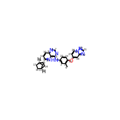 Cc1cc(Nc2ncnc3ccc([C@@H]4C[C@H]5CC[C@@H]4C5)nc23)ccc1Oc1ccn2ncnc2c1